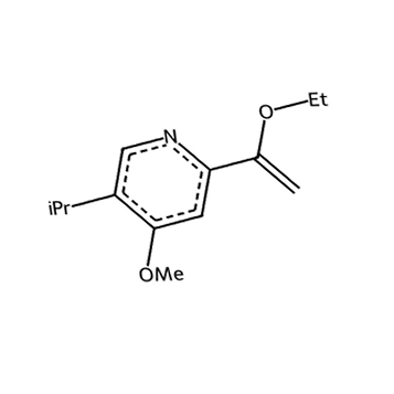 C=C(OCC)c1cc(OC)c(C(C)C)cn1